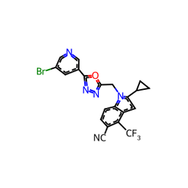 N#Cc1ccc2c(cc(C3CC3)n2Cc2nnc(-c3cncc(Br)c3)o2)c1C(F)(F)F